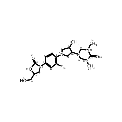 CC1CN(c2ccc(N3CC(CO)OC3=O)cc2F)CC1N1CN(C)C(=O)N(C)C1